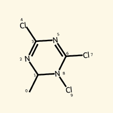 CC1N=C(Cl)N=C(Cl)N1Cl